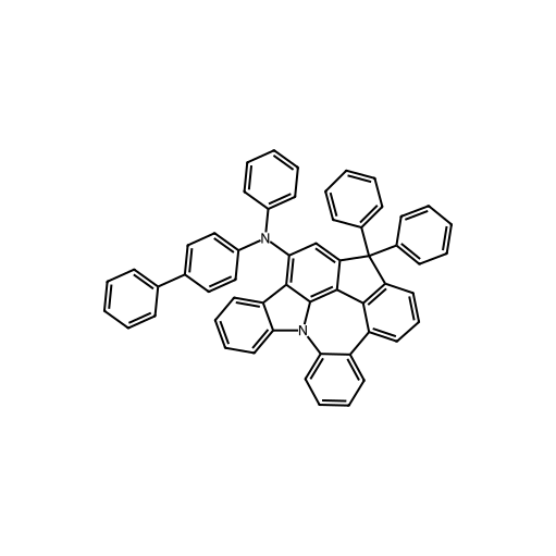 c1ccc(-c2ccc(N(c3ccccc3)c3cc4c5c6c3c3ccccc3n6-c3ccccc3-c3cccc(c3-5)C4(c3ccccc3)c3ccccc3)cc2)cc1